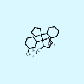 CC1CCC[C](C2(C3(C4CCCCC4C)CCCC3)CCCC2C)C1